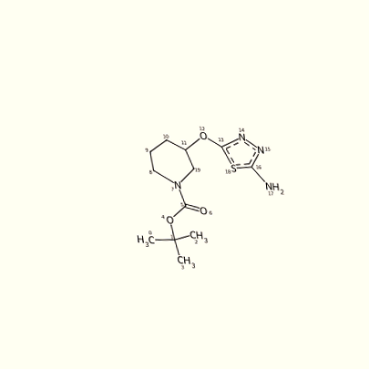 CC(C)(C)OC(=O)N1CCCC(Oc2nnc(N)s2)C1